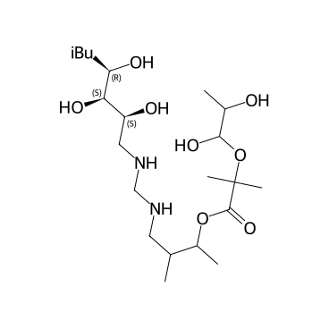 CCC(C)[C@@H](O)[C@H](O)[C@@H](O)CNCNCC(C)C(C)OC(=O)C(C)(C)OC(O)C(C)O